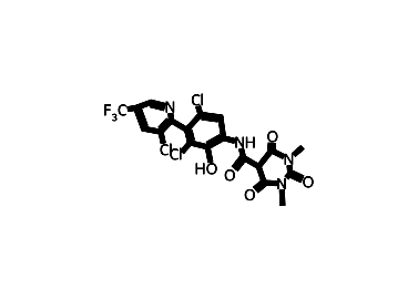 CN1C(=O)C(C(=O)Nc2cc(Cl)c(-c3ncc(C(F)(F)F)cc3Cl)c(Cl)c2O)C(=O)N(C)C1=O